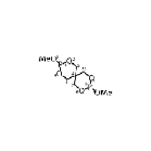 COP1OCC2(CO1)COP(OC)OC2